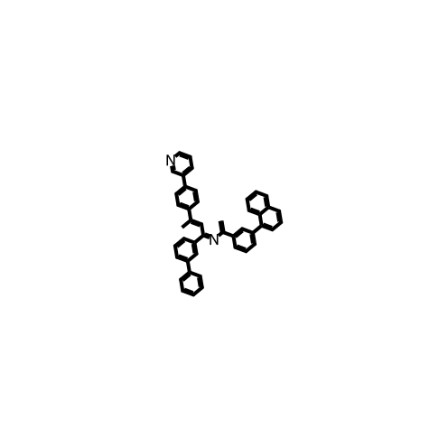 C=C(/N=C(\C=C(/C)c1ccc(-c2cccnc2)cc1)c1cccc(-c2ccccc2)c1)c1cccc(-c2cccc3ccccc23)c1